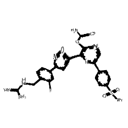 CC(C)S(=O)(=O)c1ccc(-c2cnc(OC(N)=O)c(-c3cc(-c4ccc(CNC(=N)N)c(F)c4)no3)n2)cc1